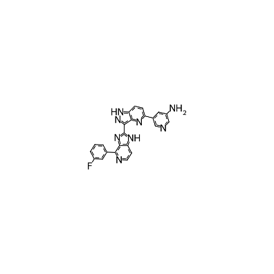 Nc1cncc(-c2ccc3[nH]nc(-c4nc5c(-c6cccc(F)c6)nccc5[nH]4)c3n2)c1